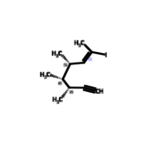 C#C[C@H](C)[C@H](C)[C@H](C)/C=C(\C)I